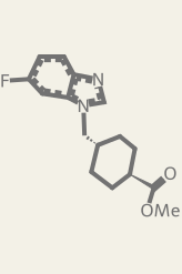 COC(=O)[C@H]1CC[C@H](Cn2cnc3ccc(F)cc32)CC1